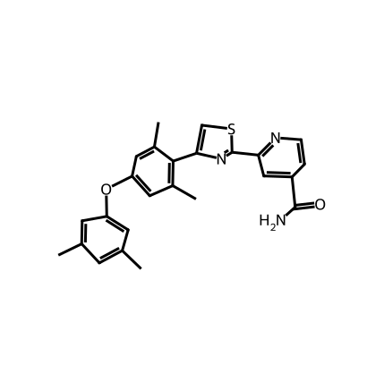 Cc1cc(C)cc(Oc2cc(C)c(-c3csc(-c4cc(C(N)=O)ccn4)n3)c(C)c2)c1